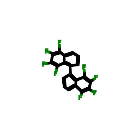 Fc1c(F)c(F)c2c(-c3cccc4c(F)c(F)c(F)c(F)c34)cccc2c1F